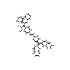 Cc1c(C)n(-c2cc3ccccc3c3ccccc23)c2ccc(/C=C/c3ccc(N(c4ccc5ccccc5c4)c4ccc5ccccc5c4)cc3)cc12